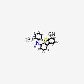 CN(c1ccccc1C(C)(C)C)c1cccc2c1sc1c(C#N)cccc12